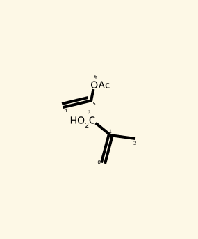 C=C(C)C(=O)O.C=COC(C)=O